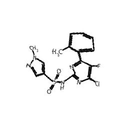 Cc1ccccc1-c1nc(NS(=O)(=O)c2cnn(C)c2)nc(Cl)c1F